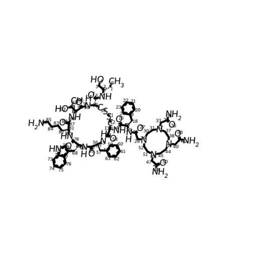 CC[C@@H](CO)NC(=O)[C@@H]1CSSC[C@H](NC(=O)[C@@H](Cc2ccccc2)NC(=O)CN2CCN(CC(N)=O)CCN(CC(N)=O)CCN(CC(N)=O)CC2)C(=O)N[C@@H](Cc2ccccc2)C(=O)N[C@H](Cc2c[nH]c3ccccc23)C(=O)N[C@@H](CCCCN)C(=O)N[C@@H]([C@@H](C)O)C(=O)N1